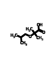 CC(C)COC(C)(C)C(=O)O